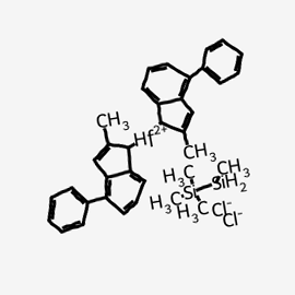 CC1=Cc2c(-c3ccccc3)cccc2[CH]1[Hf+2][CH]1C(C)=Cc2c(-c3ccccc3)cccc21.C[SiH2][Si](C)(C)C.[Cl-].[Cl-]